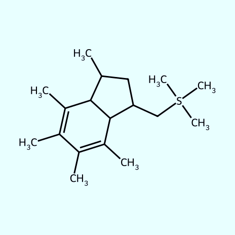 CC1=C(C)C2C(C)CC(CS(C)(C)C)C2C(C)=C1C